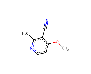 COc1ccnc(C)c1C#N